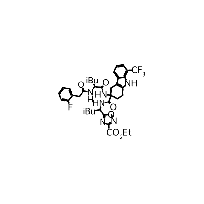 CCOC(=O)c1noc(C(NC(=O)C2(NC(=O)C(NC(=O)Cc3ccccc3F)C(C)CC)CCc3[nH]c4c(C(F)(F)F)cccc4c3C2)C(C)CC)n1